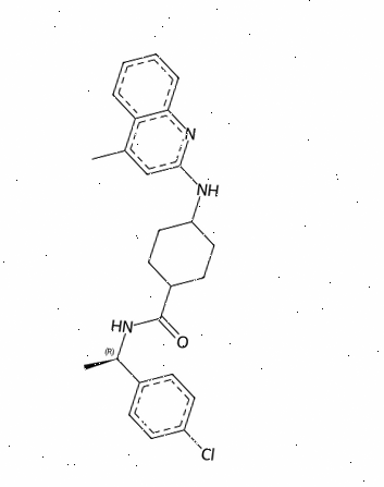 Cc1cc(NC2CCC(C(=O)N[C@H](C)c3ccc(Cl)cc3)CC2)nc2ccccc12